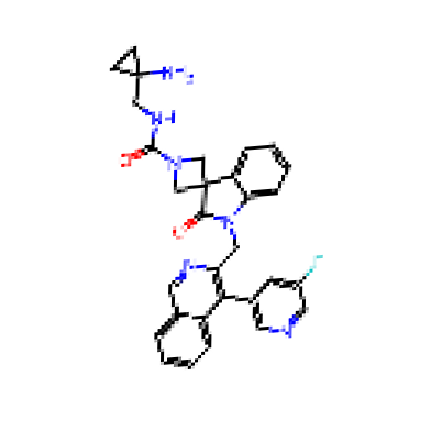 NC1(CNC(=O)N2CC3(C2)C(=O)N(Cc2ncc4ccccc4c2-c2cncc(F)c2)c2ccccc23)CC1